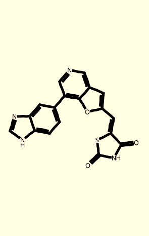 O=C1NC(=O)C(=Cc2cc3cncc(-c4ccc5[nH]cnc5c4)c3o2)S1